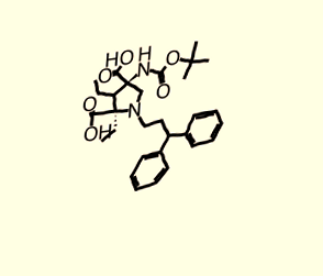 CCC1[C@](CC)(C(=O)O)N(CCC(c2ccccc2)c2ccccc2)C[C@@]1(NC(=O)OC(C)(C)C)C(=O)O